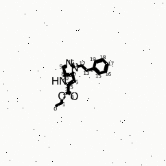 CCOC(=O)c1cc2c(cnn2CCc2ccccc2)[nH]1